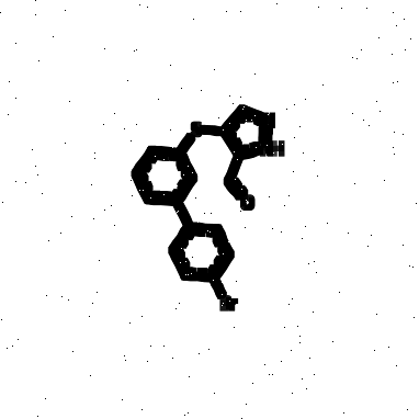 O=Cc1[nH]ncc1Sc1cccc(-c2ccc(Br)cc2)c1